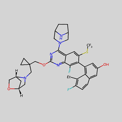 CCc1c(F)ccc2cc(O)cc(-c3c(SC(F)(F)F)cc4c(N5CC6CCC(C5)N6)nc(OCC5(CN6C[C@H]7C[C@@H]6CO7)CC5)nc4c3F)c12